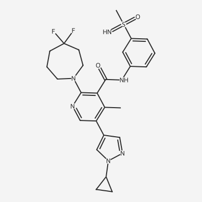 Cc1c(-c2cnn(C3CC3)c2)cnc(N2CCCC(F)(F)CC2)c1C(=O)Nc1cccc(S(C)(=N)=O)c1